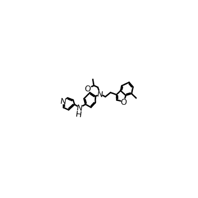 Cc1cccc2c(CCN3CC(C)Oc4cc(Nc5ccncc5)ccc43)coc12